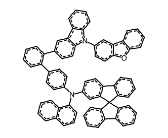 c1ccc(-c2ccc3c(c2)c2ccccc2n3-c2ccc3oc4ccccc4c3c2)c(-c2ccc(N(c3ccc4c(c3)C3(c5ccccc5-c5ccccc53)c3ccccc3-4)c3cccc4ccccc34)cc2)c1